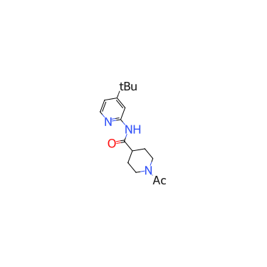 CC(=O)N1CCC(C(=O)Nc2cc(C(C)(C)C)ccn2)CC1